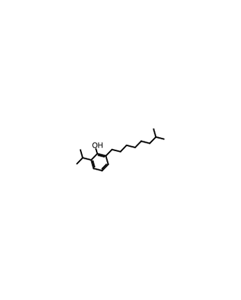 CC(C)CCCCCCc1cccc(C(C)C)c1O